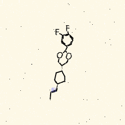 C/C=C/[C@H]1CC[C@H](C2COC(c3ccc(F)c(F)c3)OC2)CC1